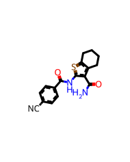 N#Cc1ccc(C(=O)Nc2sc3c(c2C(N)=O)CCCC3)cc1